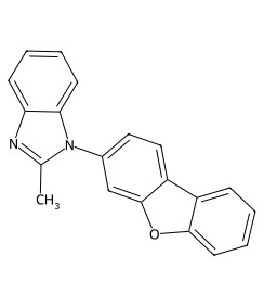 Cc1nc2ccccc2n1-c1ccc2c(c1)oc1ccccc12